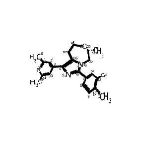 Cc1cc(-c2nc(-c3ccc(C)c(Cl)c3)n3c2CCO[C@H](C)C3)cc(C)n1